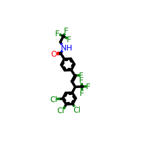 O=C(NCC(F)(F)F)c1ccc(C(F)=CC(c2cc(Cl)c(Cl)c(Cl)c2)C(F)(F)F)cc1